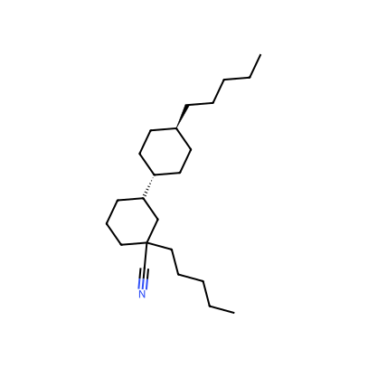 CCCCCC1(C#N)CCCC([C@H]2CC[C@H](CCCCC)CC2)C1